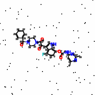 Cc1cc(NC(=O)Oc2ccc(F)c3c(C(=O)C(=O)N4CCN(C(=O)c5ccccc5)CC4)c[nH]c23)nc(C)n1